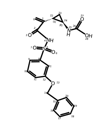 C=C(C(=O)NS(=O)(=O)c1cccc(OCc2ccccc2)c1)[C@@H]1C[C@H]1NC(=O)O